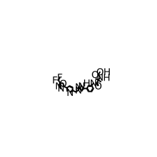 CC(C)(NC(=O)O)C(=O)Nc1cccc(-c2cn(Cc3ccc(-c4nnc(C(F)F)o4)cn3)nn2)c1